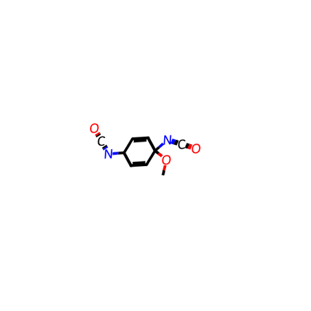 COC1(N=C=O)C=CC(N=C=O)C=C1